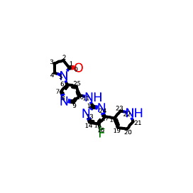 O=C1CCCN1c1cncc(Nc2ncc(F)c(C3=CCCNC3)n2)c1